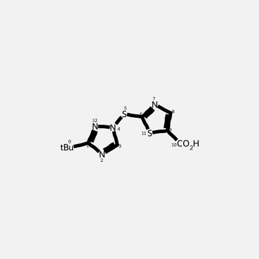 CC(C)(C)c1ncn(Sc2ncc(C(=O)O)s2)n1